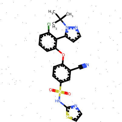 CC(C)(C)n1nccc1-c1c(Cl)cccc1Oc1ccc(S(=O)(=O)Nc2nccs2)cc1C#N